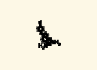 C#Cc1ccc(Cn2ccc3c4nc(N)nc(N)c4ccc32)cc1